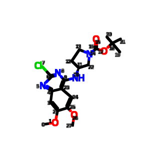 COc1cc2nc(Cl)nc(N[C@H]3CCN(C(=O)OC(C)(C)C)C3)c2cc1OC